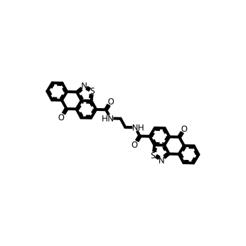 O=C(NCCNC(=O)c1ccc2c3c(nsc13)-c1ccccc1C2=O)c1ccc2c3c(nsc13)-c1ccccc1C2=O